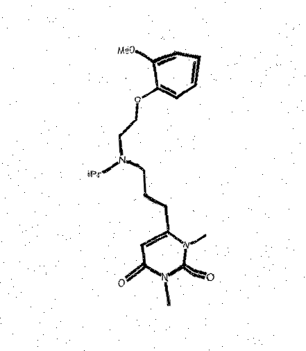 COc1ccccc1OCCN(CCCc1cc(=O)n(C)c(=O)n1C)C(C)C